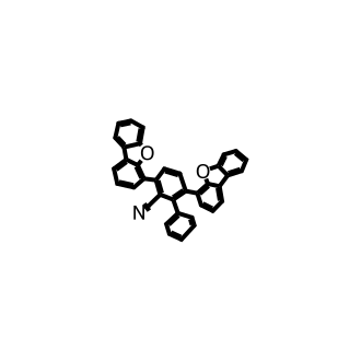 N#Cc1c(-c2cccc3c2oc2ccccc23)ccc(-c2cccc3c2oc2ccccc23)c1-c1ccccc1